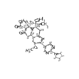 COc1cc2c(cc1-c1cnc(N3CCCC3)nc1)CC(C(C)(C)C)n1cc(C(=O)O)c(=O)cc1-2